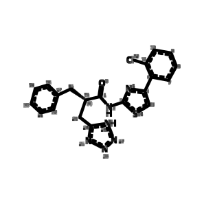 O=C(Nc1nc(-c2ccccc2Cl)cs1)[C@H](Cc1ccccc1)Cc1nnn[nH]1